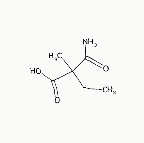 CCC(C)(C(N)=O)C(=O)O